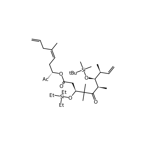 C=CC/C(C)=C\C[C@H](OC(=O)C[C@H](O[Si](CC)(CC)CC)C(C)(C)C(=O)[C@H](C)[C@@H](O[Si](C)(C)C(C)(C)C)[C@@H](C)C=C)C(C)=O